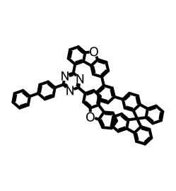 c1ccc(-c2ccc(-c3nc(-c4ccc5c(c4)oc4ccccc45)nc(-c4cccc5oc6ccc(-c7cccc(-c8ccc9c(c8)C8(c%10ccccc%10-c%10ccccc%108)c8ccccc8-9)c7)cc6c45)n3)cc2)cc1